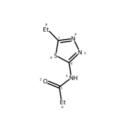 CCC(=O)Nc1nnc(CC)s1